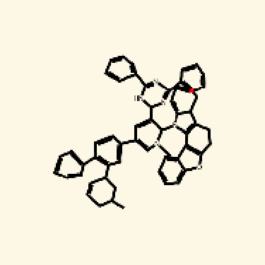 CC1CC=CC(c2cc(C3=CN(C)C(N4C5=CC=CCC5C5=C4c4c(oc6ccccc46)CC5)C(C4N=C(c5ccccc5)N=C(c5ccccc5)N4)=C3)ccc2-c2ccccc2)C1